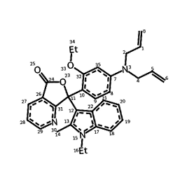 C=CCN(CC=C)c1ccc(C2(c3c(C)n(CC)c4ccccc34)OC(=O)c3cccnc32)c(OCC)c1